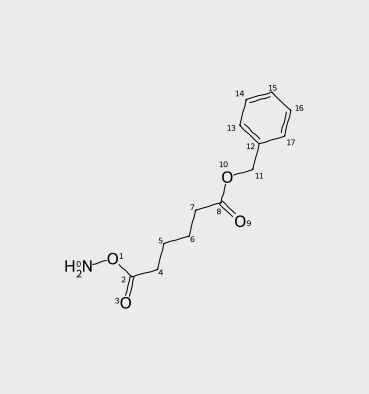 NOC(=O)CCCCC(=O)OCc1ccccc1